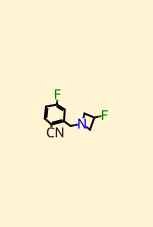 N#Cc1ccc(F)cc1CN1CC(F)C1